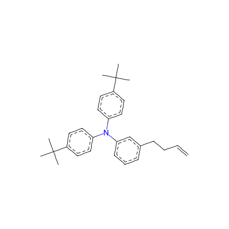 C=CCCc1cccc(N(c2ccc(C(C)(C)C)cc2)c2ccc(C(C)(C)C)cc2)c1